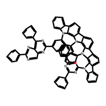 c1ccc(-c2nc(-c3ccccc3)nc(-n3c4ccccc4c4ccc5c6ccc7c8ccc9c%10ccccc%10n(-c%10cccc(-c%11nc(-c%12ccccc%12)c%12nc(-c%13ccccc%13)ncc%12n%11)c%10)c9c8n(-c8ccccc8)c7c6n(-c6ccccc6)c5c43)n2)cc1